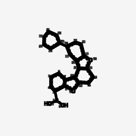 OB(O)c1cccc2c1oc1ccc3oc4ccc(-c5ccccc5)cc4c3c12